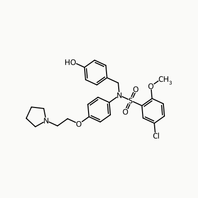 COc1ccc(Cl)cc1S(=O)(=O)N(Cc1ccc(O)cc1)c1ccc(OCCN2CCCC2)cc1